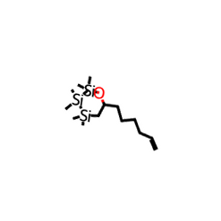 C=CCCCCC1C[Si](C)(C)[Si](C)(C)[Si](C)(C)O1